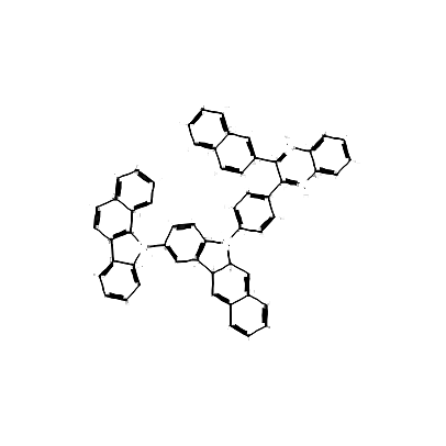 C1=c2ccccc2=CC2C1c1cc(-n3c4ccccc4c4ccc5ccccc5c43)ccc1N2c1ccc(-c2nc3ccccc3nc2-c2ccc3ccccc3c2)cc1